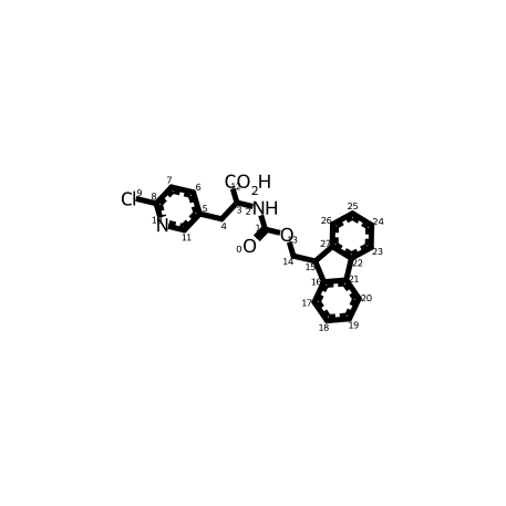 O=C(NC(Cc1ccc(Cl)nc1)C(=O)O)OCC1c2ccccc2-c2ccccc21